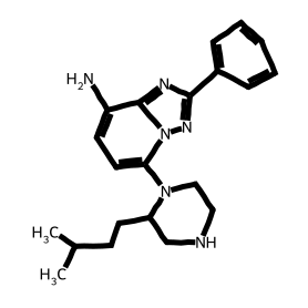 CC(C)CCC1CNCCN1c1ccc(N)c2nc(-c3ccccc3)nn12